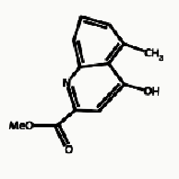 COC(=O)c1cc(O)c2c(C)cccc2n1